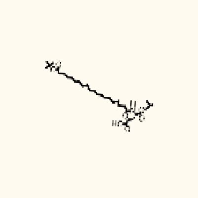 CC(C)COC(=O)[C@H](CCC(=O)O)NC(=O)CCCCCCCCCCCCCCCCCCC(=O)OC(C)(C)C